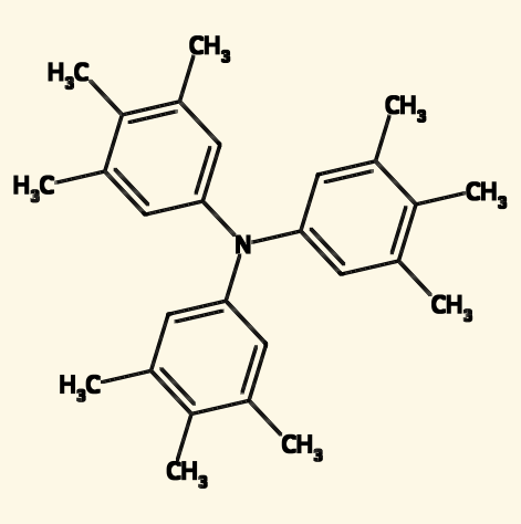 Cc1cc(N(c2cc(C)c(C)c(C)c2)c2cc(C)c(C)c(C)c2)cc(C)c1C